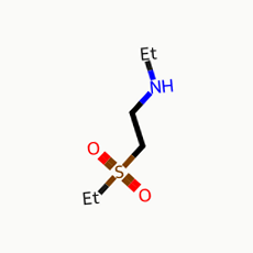 CCNCCS(=O)(=O)CC